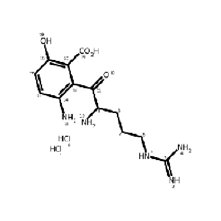 Cl.Cl.N=C(N)NCCCC(N)C(=O)c1c(N)ccc(O)c1C(=O)O